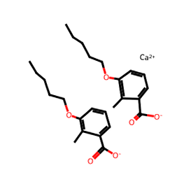 CCCCCOc1cccc(C(=O)[O-])c1C.CCCCCOc1cccc(C(=O)[O-])c1C.[Ca+2]